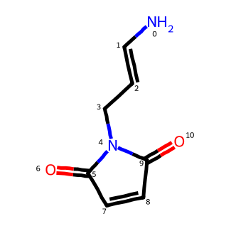 NC=CCN1C(=O)C=CC1=O